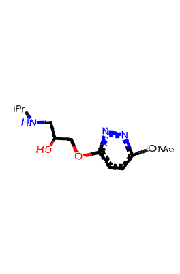 COc1ccc(OCC(O)CNC(C)C)nn1